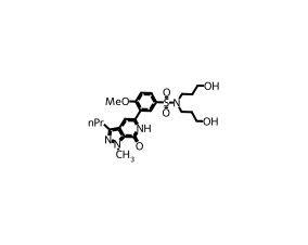 CCCc1nn(C)c2c(=O)[nH]c(-c3cc(S(=O)(=O)N(CCCO)CCCO)ccc3OC)cc12